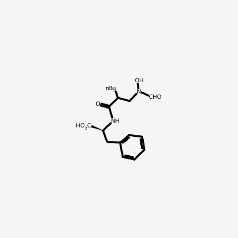 CCCCC(CN(O)C=O)C(=O)N[C@@H](Cc1ccccc1)C(=O)O